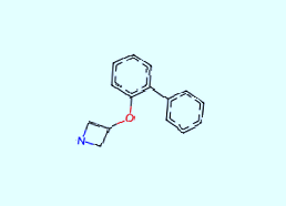 c1ccc(-c2ccccc2OC2C[N]C2)cc1